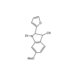 CCN1c2cc(OC)ccc2C(C#N)C1c1ccco1